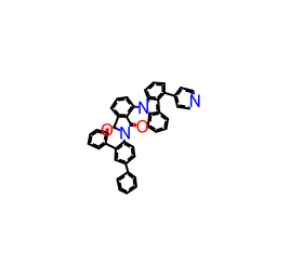 O=C1c2cccc(-n3c4ccccc4c4c(-c5ccncc5)cccc43)c2C(=O)N1c1ccc(-c2ccccc2)cc1-c1ccccc1